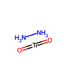 NN.[O]=[Ti]=[O]